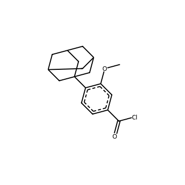 COc1cc(C(=O)Cl)ccc1C12CC3CC(CC(C3)C1)C2